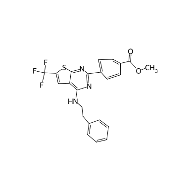 COC(=O)c1ccc(-c2nc(NCCc3ccccc3)c3cc(C(F)(F)F)sc3n2)cc1